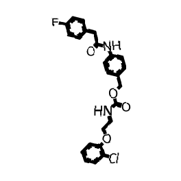 O=C(Cc1ccc(F)cc1)Nc1ccc(COC(=O)NCCOc2ccccc2Cl)cc1